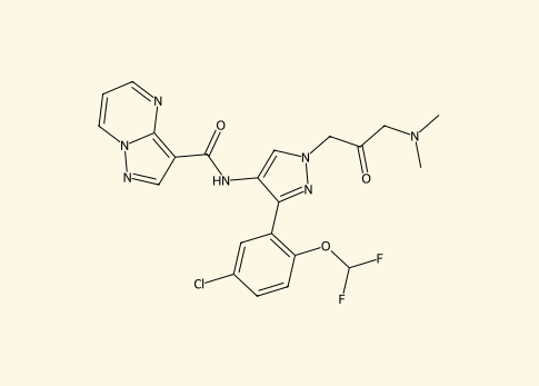 CN(C)CC(=O)Cn1cc(NC(=O)c2cnn3cccnc23)c(-c2cc(Cl)ccc2OC(F)F)n1